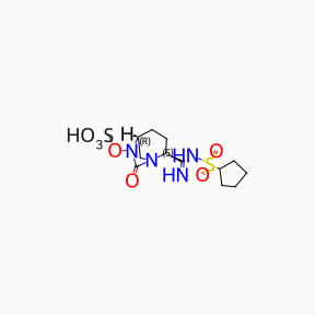 N=C(NS(=O)(=O)C1CCCC1)[C@@H]1CC[C@@H]2CN1C(=O)N2OS(=O)(=O)O